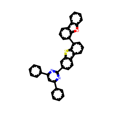 c1ccc(-c2cc(-c3ccccc3)nc(-c3ccc4c(c3)sc3c(-c5cccc6c5oc5ccccc56)cccc34)n2)cc1